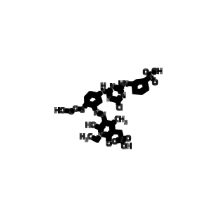 CCn1c(O)c(N=Nc2cc(Nc3nc(Cl)nc(Nc4cccc(S(=O)(=O)O)c4)n3)ccc2SOOO)c(C)c(CS(=O)(=O)O)c1=O